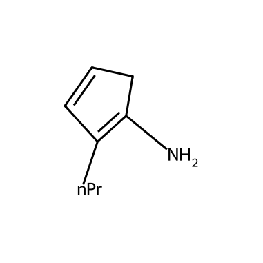 CCCC1=C(N)CC=C1